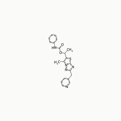 Cc1c(C(C)OC(=O)Nc2ccccc2)sc2nc(Cc3cccnc3)nn12